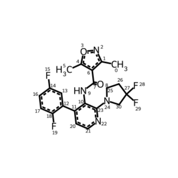 Cc1noc(C)c1C(=O)Nc1c(-c2cc(F)ccc2F)ccnc1N1CCC(F)(F)C1